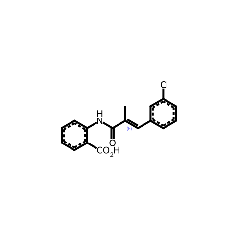 C/C(=C\c1cccc(Cl)c1)C(=O)Nc1ccccc1C(=O)O